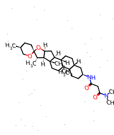 C[C@H]1CC[C@@]2(OC1)O[C@H]1C[C@H]3[C@@H]4CC[C@@H]5C[C@@H](NC(=O)CC(=O)N(C)C)CC[C@]5(C)[C@@]4(C)CC[C@]3(C)[C@H]1[C@@H]2C